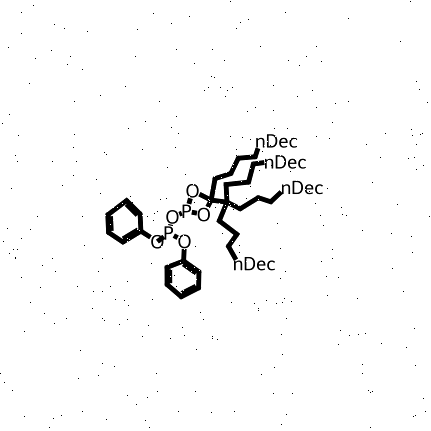 CCCCCCCCCCCCCCC1(C(CCCCCCCCCCCCC)(CCCCCCCCCCCCC)CCCCCCCCCCCCC)OP(OP(Oc2ccccc2)Oc2ccccc2)O1